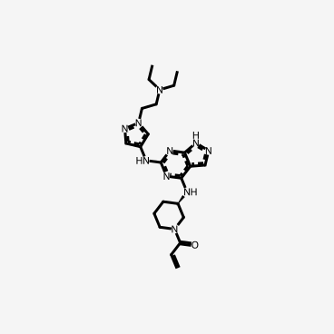 C=CC(=O)N1CCC[C@@H](Nc2nc(Nc3cnn(CCN(CC)CC)c3)nc3[nH]ncc23)C1